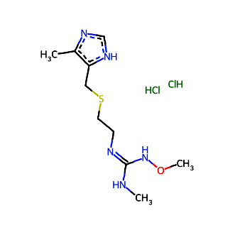 CN/C(=N/CCSCc1[nH]cnc1C)NOC.Cl.Cl